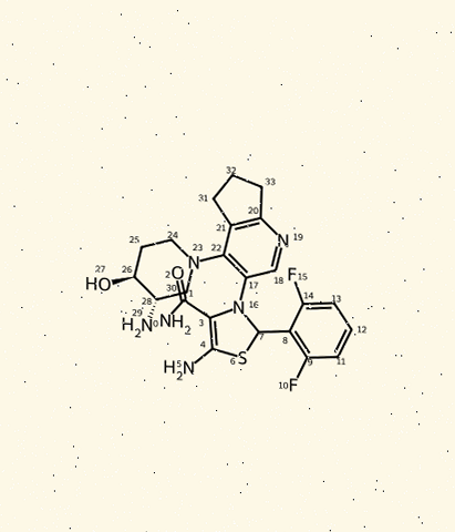 NC(=O)C1=C(N)SC(c2c(F)cccc2F)N1c1cnc2c(c1N1CC[C@H](O)[C@@H](N)C1)CCC2